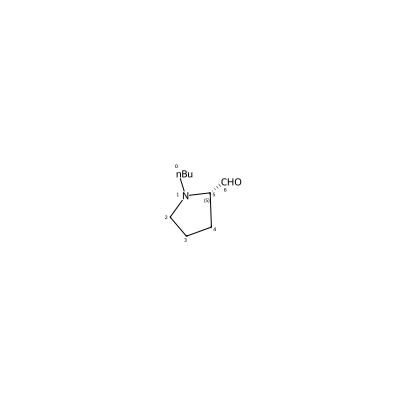 CCCCN1CCC[C@H]1C=O